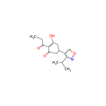 CCC(=O)C1=C(O)CC(c2conc2C(C)C)CC1=O